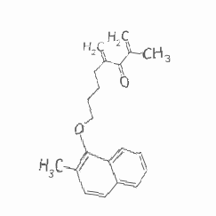 C=C(C)C(=O)C(=C)CCCCOc1c(C)ccc2ccccc12